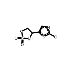 O=S1(=O)NC(c2cnc(Cl)s2)CO1